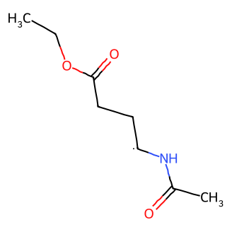 CCOC(=O)CC[CH]NC(C)=O